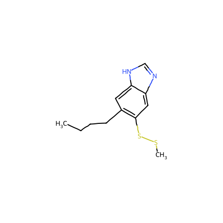 CCCCc1cc2[nH]cnc2cc1SSC